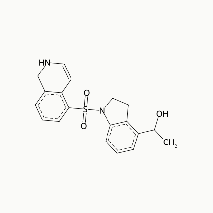 CC(O)c1cccc2c1CCN2S(=O)(=O)c1cccc2c1C=CNC2